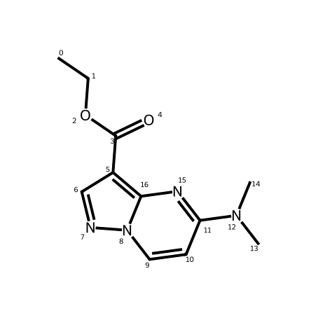 CCOC(=O)c1cnn2ccc(N(C)C)nc12